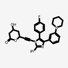 CC(C)c1nc(-c2cccc(N3CCCCC3)c2)c(-c2ccc(F)cc2)n1C#CC1CC(O)CC(=O)O1